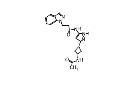 CC(=O)N[C@H]1C[C@@H](c2cc(NC(=O)CCn3ncc4ccccc43)[nH]n2)C1